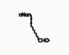 CCCCCCCCCCC#CC#CCCCCCCCCC[C]=O